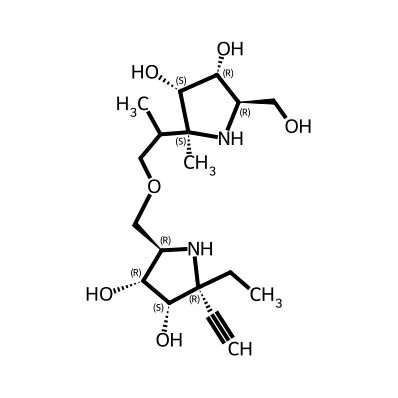 C#C[C@@]1(CC)N[C@H](COCC(C)[C@]2(C)N[C@H](CO)[C@@H](O)[C@H]2O)[C@@H](O)[C@H]1O